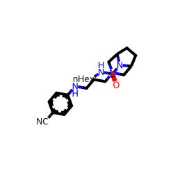 CCCCCCNC(=O)N1C2CCC1CN(CCCNc1ccc(C#N)cc1)C2